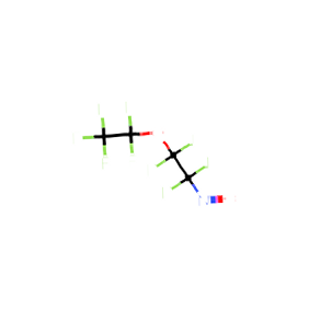 O=NC(F)(F)C(F)(F)OC(F)(F)C(F)(F)F